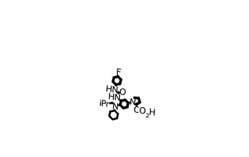 CC(C)CN(c1ccc(-n2cccc2C(=O)O)cc1NC(=O)Nc1ccc(F)cc1)C1CCCCC1